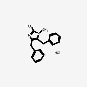 Cc1nc(Cc2ccccc2)c(Cc2ccccc2)n1C.Cl